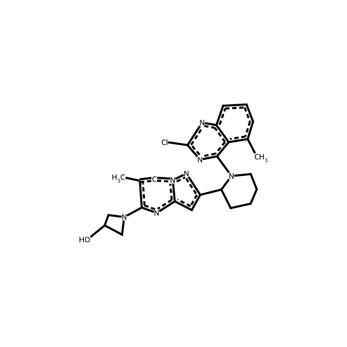 Cc1cn2nc(C3CCCCN3c3nc(Cl)nc4cccc(C)c34)cc2nc1N1CC(O)C1